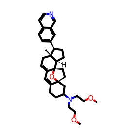 COCCN(CCOC)C1CCC2=CC3=CC[C@]4(C)[C@@H](c5ccc6ccncc6c5)CC[C@H]4[C@@]34CC[C@]2(C1)O4